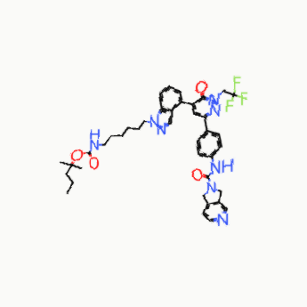 CCCC(C)(C)OC(=O)NCCCCCCn1ncc2c(-c3cc(-c4ccc(NC(=O)N5Cc6ccncc6C5)cc4)nn(CC(F)(F)F)c3=O)cccc21